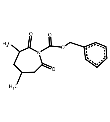 CC1CC(=O)N(C(=O)OCc2ccccc2)C(=O)C(C)C1